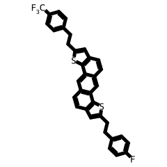 Fc1ccc(CCc2cc3ccc4cc5c(ccc6cc(CCc7ccc(C(F)(F)F)cc7)sc65)cc4c3s2)cc1